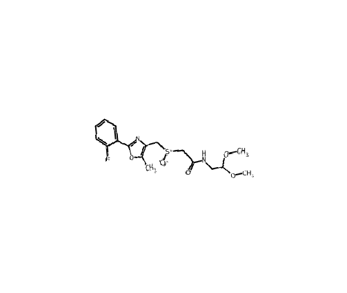 COC(CNC(=O)C[S+]([O-])Cc1nc(-c2ccccc2F)oc1C)OC